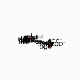 CCC(=O)NCCNC(=O)/N=C(/N)NCCCC(NC(=O)[C@H](c1ccccc1)c1cccc(OCCOCCOCCOCCOCCNC(=O)CN2CCN(CC(=O)[O-])CCN(CC(=O)[O-])CCN(CC(=O)[O-])CC2)c1)C(=O)NCc1ccc(O)cc1.[In+3]